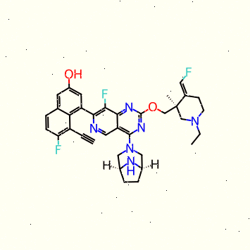 C#Cc1c(F)ccc2cc(O)cc(-c3ncc4c(N5C[C@H]6CC[C@@H](C5)N6)nc(OC[C@]5(C)CN(CC)CC/C5=C\F)nc4c3F)c12